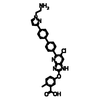 Cc1ccc(Oc2nc3nc(-c4ccc(-c5ccc(-c6ccn(CCN)n6)cc5)cc4)c(Cl)cc3[nH]2)cc1C(=O)O